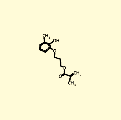 C=C(C)C(=O)OCCCOc1cccc(C)c1O